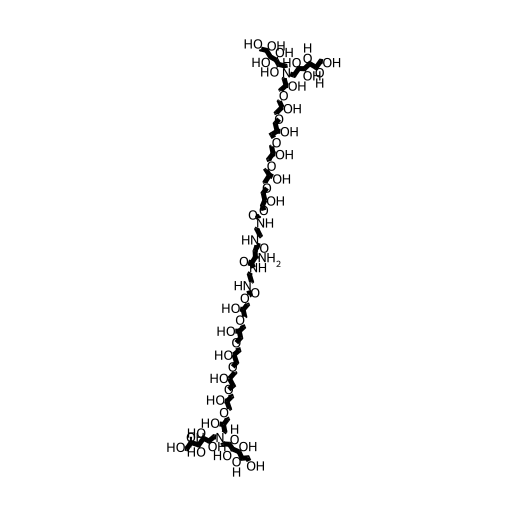 N[C@H](CC(=O)NCCNC(=O)OCC(O)COCC(O)COCC(O)COCC(O)COCC(O)COCC(O)CN(C[C@H](O)[C@@H](O)[C@H](O)[C@H](O)CO)C[C@H](O)[C@@H](O)[C@H](O)[C@H](O)CO)C(=O)NCCNC(=O)OCC(O)COCC(O)COCC(O)COCC(O)COCC(O)COCC(O)CN(C[C@H](O)[C@@H](O)[C@H](O)[C@H](O)CO)C[C@H](O)[C@@H](O)[C@H](O)[C@H](O)CO